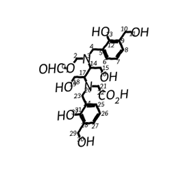 O=COCN(Cc1cccc(CO)c1O)C(CO)C(CO)N(CC(=O)O)Cc1cccc(CO)c1O